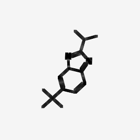 CC(C)C1=NC2C=C(C(C)(C)C)C=CC2=N1